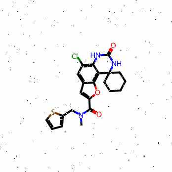 CN(Cc1cccs1)C(=O)c1cc2cc(Cl)c3c(c2o1)C1(CCCCC1)NC(=O)N3